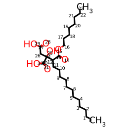 CCCCCCCCCCCCC(C(=O)OCCCCCCCC)C(O)(CC(=O)O)C(=O)O